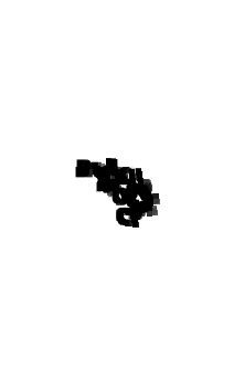 Cn1nc(Br)nc1Oc1ccccc1Cl